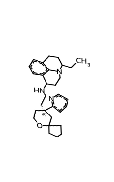 CCC1CCc2cccc3c2N1CCC3NCC[C@@]1(c2ccccn2)CCOC2(CCCC2)C1